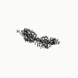 CC(C(=O)N[C@H]1CCS[C@H]2CC(C)(C)[C@@H](C(=O)N[C@H]3c4ccccc4CC[C@H]3C(=O)N3CCN(C(=O)[C@@H]4CCc5ccccc5[C@@H]4NC(=O)[C@H]4N5C(=O)[C@@H](NC(=O)C(C)N(C)C(=O)O)CCS[C@H]5CC4(C)C)CC3)N2C1=O)N(C)C(=O)O